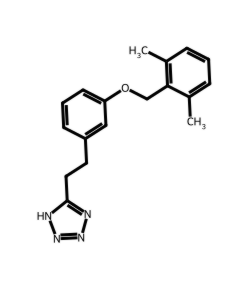 Cc1cccc(C)c1COc1cccc(CCc2nnn[nH]2)c1